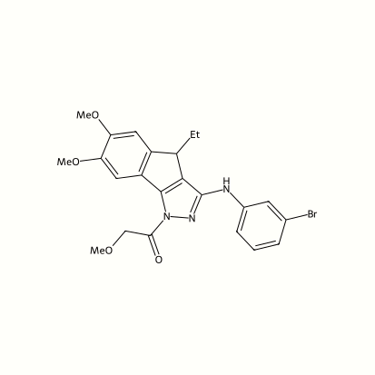 CCC1c2cc(OC)c(OC)cc2-c2c1c(Nc1cccc(Br)c1)nn2C(=O)COC